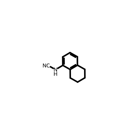 N#CNc1cccc2c1CCCC2